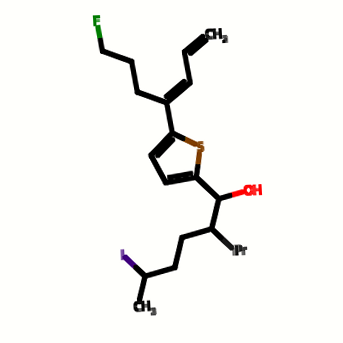 C=C/C=C(\CCCF)c1ccc(C(O)C(CCC(C)I)C(C)C)s1